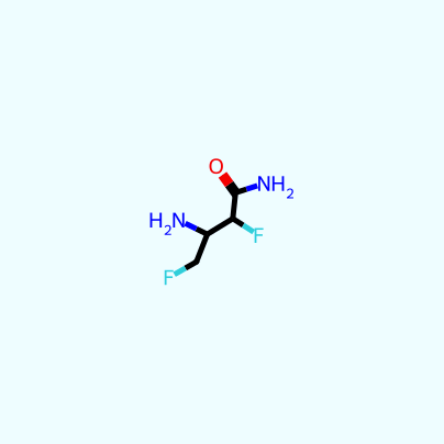 NC(=O)C(F)C(N)CF